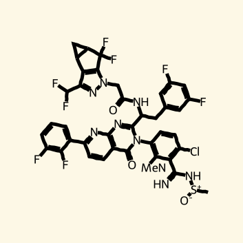 CNc1c(-n2c(C(Cc3cc(F)cc(F)c3)NC(=O)Cn3nc(C(F)F)c4c3C(F)(F)C3CC43)nc3nc(-c4cccc(F)c4F)ccc3c2=O)ccc(Cl)c1C(=N)N[S+](C)[O-]